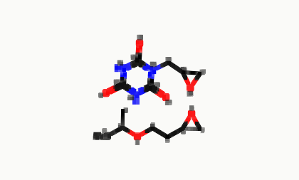 COC(C)OCCC1CO1.O=c1[nH]c(=O)n(CC2CO2)c(=O)[nH]1